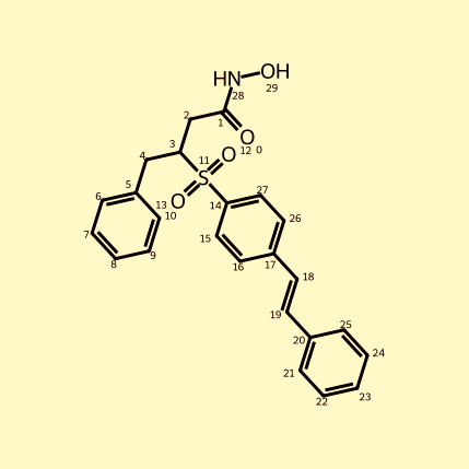 O=C(CC(Cc1ccccc1)S(=O)(=O)c1ccc(C=Cc2ccccc2)cc1)NO